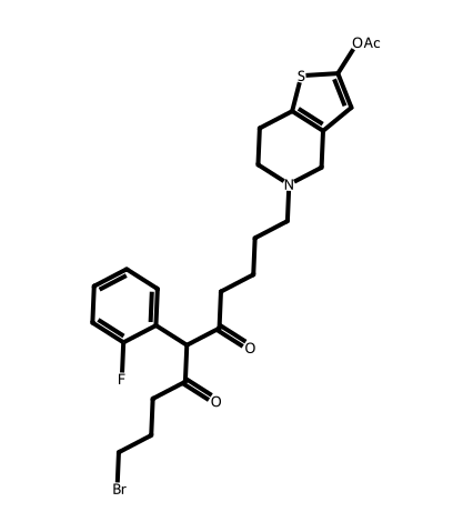 CC(=O)Oc1cc2c(s1)CCN(CCCCC(=O)C(C(=O)CCCBr)c1ccccc1F)C2